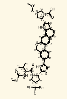 COC[C@H]1C[C@@H](c2nc3ccc4cc5c(cc4c3[nH]2)OCc2cc(-c3cnc([C@@H]4C[C@H](C(F)(F)F)CN4C(=O)[C@@H](NC(=O)OC)C(C)C)[nH]3)ccc2-5)N(C(=O)O)C1